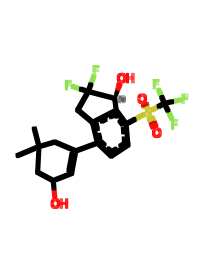 CC1(C)CC(c2ccc(S(=O)(=O)C(F)(F)F)c3c2CC(F)(F)[C@H]3O)=CC(O)C1